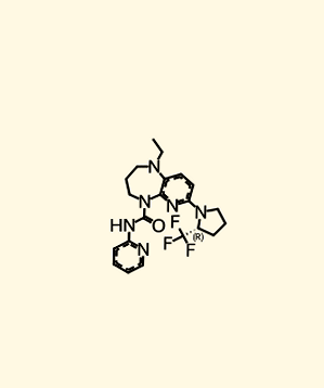 CCN1CCCN(C(=O)Nc2ccccn2)c2nc(N3CCC[C@@H]3C(F)(F)F)ccc21